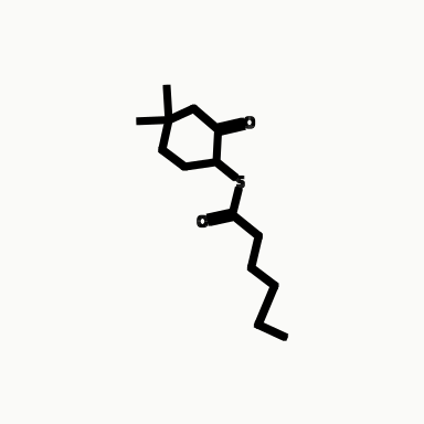 CCCCCC(=O)SC1CCC(C)(C)CC1=O